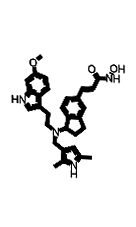 COc1ccc2c(CCN(Cc3cc(C)[nH]c3C)C3CCc4cc(/C=C/C(=O)NO)ccc43)c[nH]c2c1